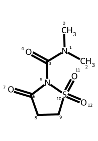 CN(C)C(=O)N1C(=O)CCS1(=O)=O